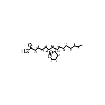 C1CCOOC1.CCCCCCCCCCCCCCC(=O)O